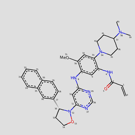 C=CC(=O)Nc1cc(Nc2cc(N3OCC[C@@H]3c3ccc4ccccc4c3)ncn2)c(OC)cc1N1CCC(N(C)C)CC1